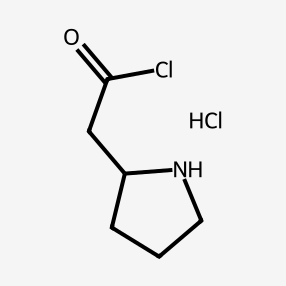 Cl.O=C(Cl)CC1CCCN1